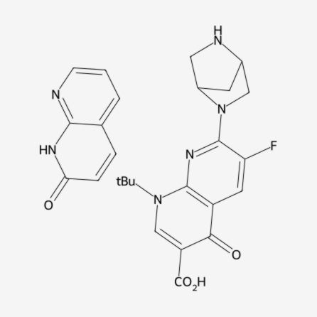 CC(C)(C)n1cc(C(=O)O)c(=O)c2cc(F)c(N3CC4CC3CN4)nc21.O=c1ccc2cccnc2[nH]1